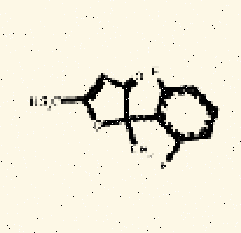 CC1(c2c(F)cccc2F)OC(C(=O)O)=CC1=O